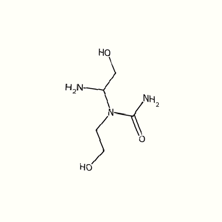 NC(=O)N(CCO)C(N)CO